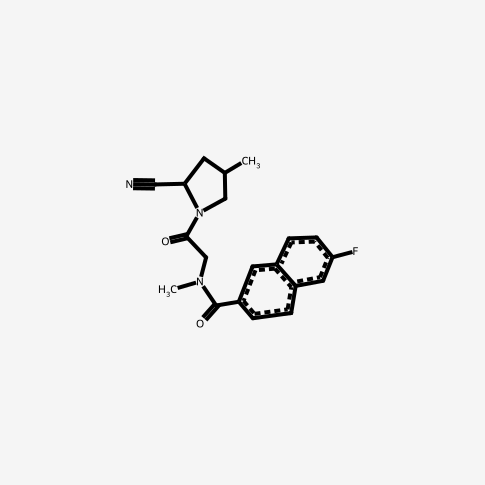 CC1CC(C#N)N(C(=O)CN(C)C(=O)c2ccc3cc(F)ccc3c2)C1